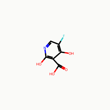 O=C(O)c1c(O)ncc(F)c1O